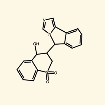 O=S1(=O)CC(C2c3ccccc3-c3cncn32)C(O)c2ccccc21